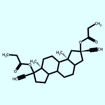 C#CC1(OC(=O)CC)CCC2C3CCC4C[C@@](C#C)(OC(=O)CC)C[C@]4(C)C3CC[C@@]21C